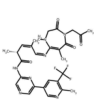 CC(=O)CN1C(=O)CN(C)C(/N=C\C(C)=C/[C@@H](C)C(=O)Nc2cncc(-c3cnc(C)c(C(F)(F)F)c3)n2)=C(C)C1=O